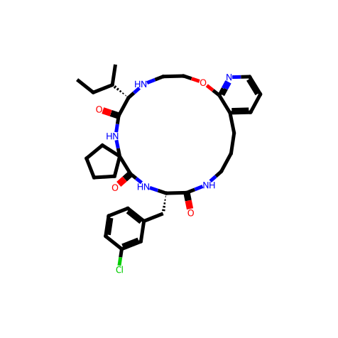 CCC(C)[C@@H]1NCCOc2ncccc2CCCNC(=O)[C@H](Cc2cccc(Cl)c2)NC(=O)C2(CCCC2)NC1=O